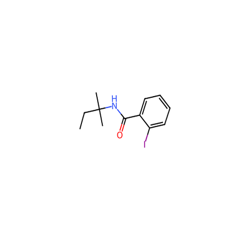 CCC(C)(C)NC(=O)c1ccccc1I